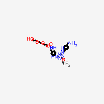 NCc1ccc(CNc2nc(Nc3ccc(CNC(=O)OCCOCCOCCO)cc3)nc(OCC(F)(F)F)n2)cc1